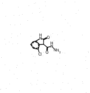 NNC(=O)C1C(=O)Nc2cccc(Cl)c21